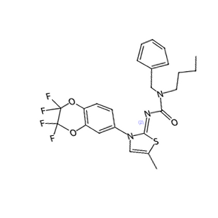 CCCCN(Cc1ccccc1)C(=O)/N=c1\sc(C)cn1-c1ccc2c(c1)OC(F)(F)C(F)(F)O2